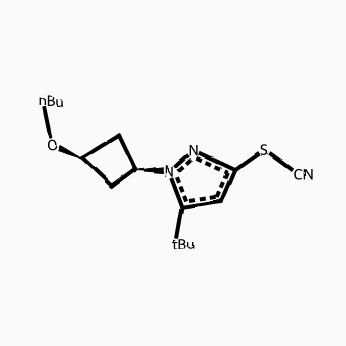 CCCCO[C@H]1C[C@@H](n2nc(SC#N)cc2C(C)(C)C)C1